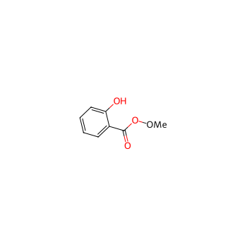 COOC(=O)c1ccccc1O